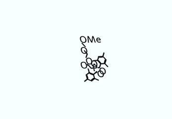 COCCOCCOC(=O)CP(=O)(C(=O)c1c(C)cc(C)cc1C)C(=O)c1c(C)cc(C)cc1C